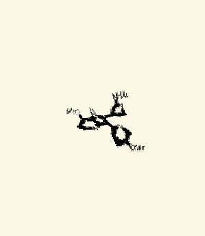 COc1ccc(-c2c(-c3ccnc(NC(C)=O)c3)[nH]c3c(OC)ccnc23)nc1